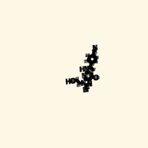 N#Cc1ccc(-c2cn3c(=O)c4nc(Br)n(CCO)c4nc3[nH]2)cc1